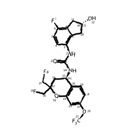 O=C(Nc1ccc(F)c2c1C[C@@H](O)C2)N[C@@H]1CC(CF)(CF)Oc2cc(OC(F)(F)F)ccc21